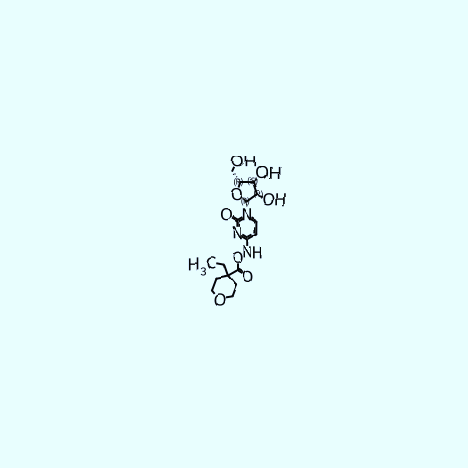 CCC1(C(=O)ONc2ccn([C@@H]3O[C@H](CO)[C@@H](O)[C@H]3O)c(=O)n2)CCOCC1